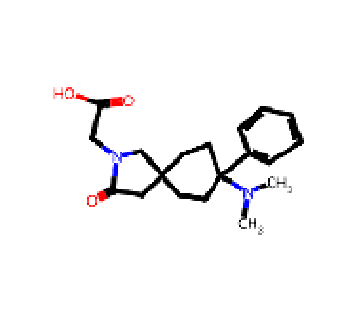 CN(C)C1(c2ccccc2)CCC2(CC1)CC(=O)N(CC(=O)O)C2